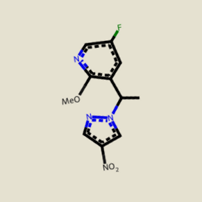 COc1ncc(F)cc1C(C)n1cc([N+](=O)[O-])cn1